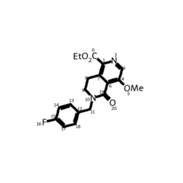 CCOC(=O)c1ncc(OC)c2c1CCN(Cc1ccc(F)cc1)C2=O